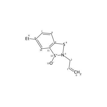 C=CCN1Sc2ccc(CC)cc2[S+]1[O-]